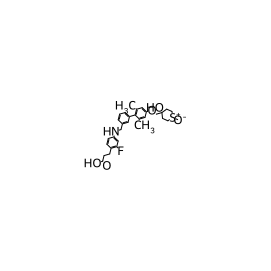 Cc1cc(OCC2(O)CC[S+]([O-])CC2)cc(C)c1-c1cccc(CNc2ccc(CCC(=O)O)c(F)c2)c1